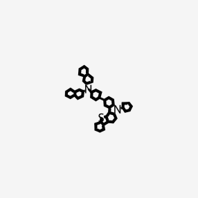 c1ccc(-n2c3ccc(-c4ccc(N(c5ccc6ccccc6c5)c5ccc6ccccc6c5)cc4)cc3c3c4sc5ccccc5c4ccc32)cc1